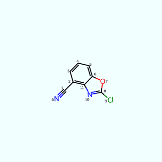 N#Cc1cccc2oc(Cl)nc12